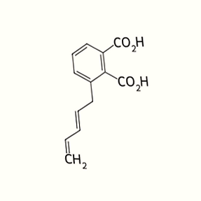 C=CC=CCc1cccc(C(=O)O)c1C(=O)O